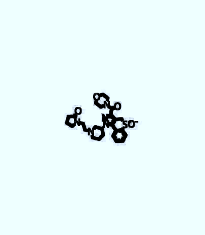 O=C1CCCN1CCN1CCC[C@H](n2nc(C(=O)N3CCOCC3)c3c2-c2ccccc2[S+]([O-])C3)C1